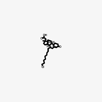 CC1(CC(=O)O)CC[C@H]2[C@@H]3C(CCCCCCCCCCl)CC4=CC(=O)CC[C@]4(C)[C@@H]3CC[C@@]21C